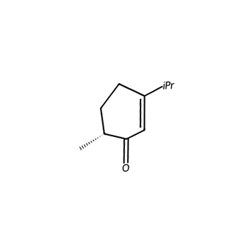 CC(C)C1=CC(=O)[C@H](C)CC1